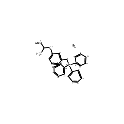 COC(C)Oc1cccc(C[P+](c2ccccc2)(c2ccccc2)c2ccccc2)c1.[Br-]